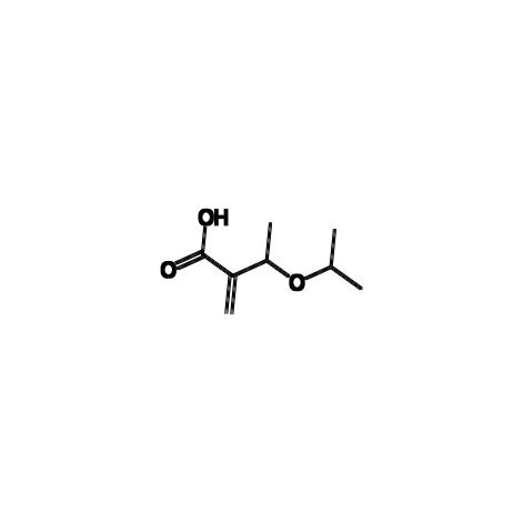 C=C(C(=O)O)C(C)OC(C)C